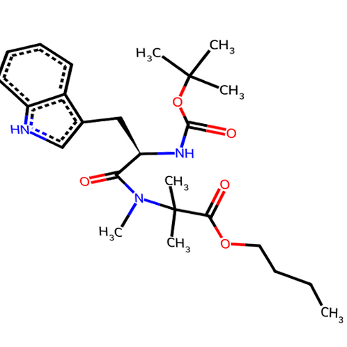 CCCCOC(=O)C(C)(C)N(C)C(=O)[C@@H](Cc1c[nH]c2ccccc12)NC(=O)OC(C)(C)C